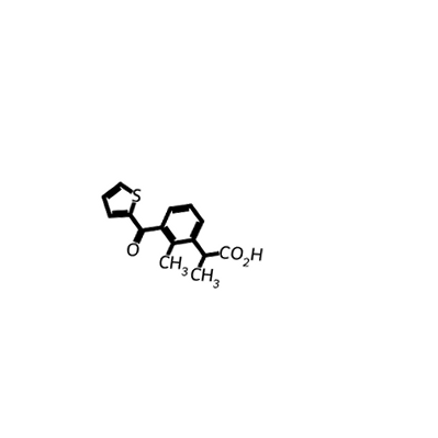 Cc1c(C(=O)c2cccs2)cccc1C(C)C(=O)O